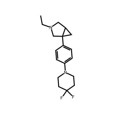 CCN1CC2CC2(c2ccc(N3CCC(F)(F)CC3)cc2)C1